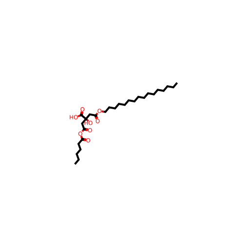 CCCCCCCCCCCCCCCCOC(=O)CC(O)(CC(=O)OC(=O)CCCCC)C(=O)O